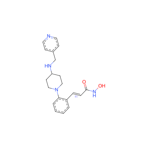 O=C(/C=C/c1ccccc1N1CCC(NCc2ccncc2)CC1)NO